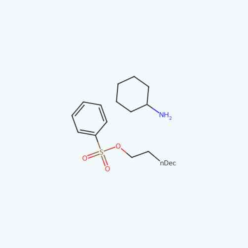 CCCCCCCCCCCCOS(=O)(=O)c1ccccc1.NC1CCCCC1